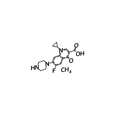 C.O=C(O)c1cn(C2CC2)c2cc(N3CCNCC3)c(F)cc2c1=O